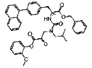 COc1ccccc1OC(=O)C(=O)CN(CC(C)C)C(=O)N[C@@H](Cc1ccc(-c2cccc3ccccc23)cc1)C(=O)OCc1ccccc1